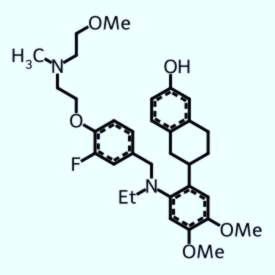 CCN(Cc1ccc(OCCN(C)CCOC)c(F)c1)c1cc(OC)c(OC)cc1C1CCc2cc(O)ccc2C1